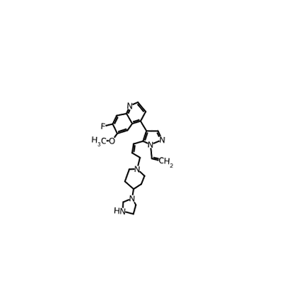 C=Cn1ncc(-c2ccnc3cc(F)c(OC)cc23)c1/C=C\CN1CCC(N2CCNC2)CC1